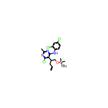 C=CCC(CO[Si](C)(C)C(C)(C)C)c1c(Cl)nc(C)nc1Nc1ccc(Cl)cc1Cl